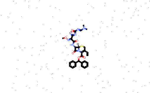 C=CC1=C(C(=O)OC(c2ccccc2)c2ccccc2)N2C(=O)C(NC(=O)C(=NOC)c3noc(N=CN(C)C)n3)[C@@H]2SC1